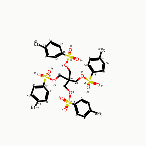 CCc1ccc(S(=O)(=O)OCC(COS(=O)(=O)c2ccc(CC)cc2)(COS(=O)(=O)c2ccc(CC)cc2)COS(=O)(=O)c2ccc(CC)cc2)cc1